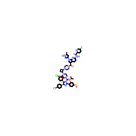 COc1ccc(C2=N[C@@H](c3ccc(Cl)cc3)[C@@H](c3ccc(Cl)cc3)N2C(=O)N2CCN(C3CCC3N3CCN(C(=O)c4cn(-c5cc(C)[nH]n5)c5nc(N[C@@H](C)c6ccc(F)cn6)ccc45)CC3)C(=O)C2)c(OC(C)C)c1